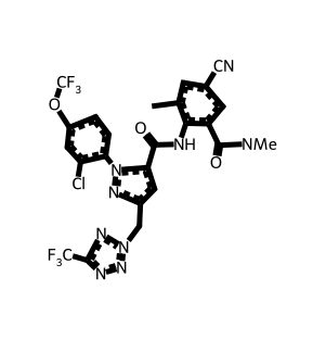 CNC(=O)c1cc(C#N)cc(C)c1NC(=O)c1cc(Cn2nnc(C(F)(F)F)n2)nn1-c1ccc(OC(F)(F)F)cc1Cl